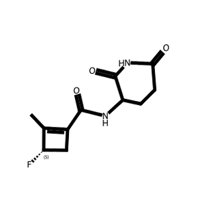 CC1=C(C(=O)NC2CCC(=O)NC2=O)C[C@@H]1F